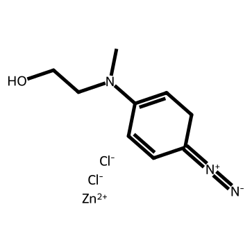 CN(CCO)C1=CCC(=[N+]=[N-])C=C1.[Cl-].[Cl-].[Zn+2]